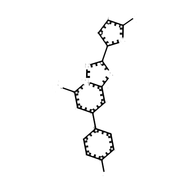 Cc1ccc(-c2cc(N)n3nc(-c4ccc(C)o4)nc3c2)cc1